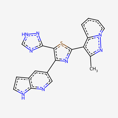 Cc1nn2ccccc2c1-c1nc(-c2cnc3[nH]ccc3c2)c(-c2nc[nH]n2)s1